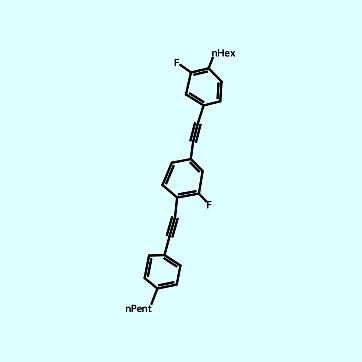 CCCCCCc1ccc(C#Cc2ccc(C#Cc3ccc(CCCCC)cc3)c(F)c2)cc1F